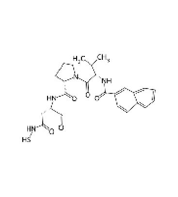 CC(C)[C@H](NC(=O)c1ccc2ccccc2c1)C(=O)N1CCC[C@H]1C(=O)N[C@H](C=O)CC(=O)NS